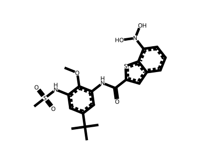 COc1c(NC(=O)c2cc3cccc(N(O)O)c3s2)cc(C(C)(C)C)cc1NS(C)(=O)=O